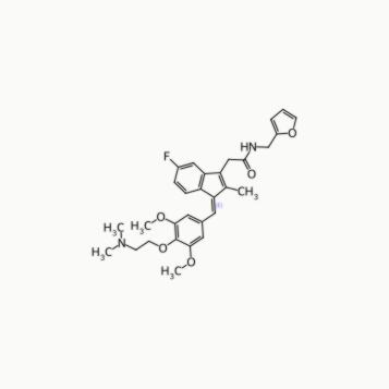 COc1cc(/C=C2/C(C)=C(CC(=O)NCc3ccco3)c3cc(F)ccc32)cc(OC)c1OCCN(C)C